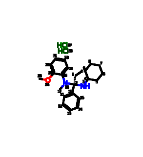 CC[C@](NC1CCCCC1)(c1ccccc1)N(C)c1ccccc1OC.Cl.Cl